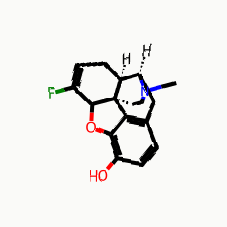 CN1CC[C@]23c4c5ccc(O)c4OC2C(F)=CC[C@H]3[C@H]1C5